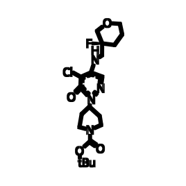 CC(C)(C)OC(=O)N1CCC(n2ncc(NC[C@@]3(F)CCCOC3)c(Cl)c2=O)CC1